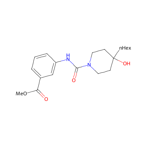 CCCCCCC1(O)CCN(C(=O)Nc2cccc(C(=O)OC)c2)CC1